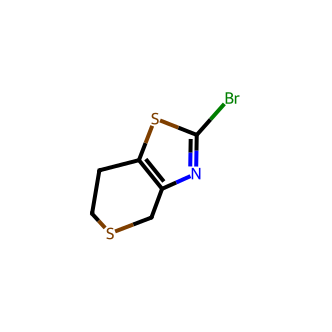 Brc1nc2c(s1)CCSC2